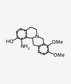 COc1ccc2c(c1OC)CN1CCc3ccc(O)c(N)c3C1C2